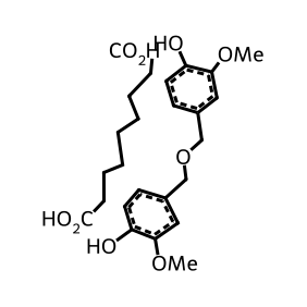 COc1cc(COCc2ccc(O)c(OC)c2)ccc1O.O=C(O)CCCCCCCC(=O)O